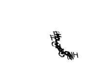 O=C(CCc1ccc(C(F)(F)F)cc1F)N1CC2CN(C(=O)c3ccc4[nH]nnc4c3)CC2C1